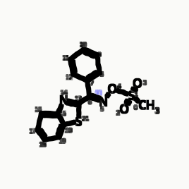 CS(=O)(=O)O/N=C(\c1ccccc1)c1nc2ccccc2s1